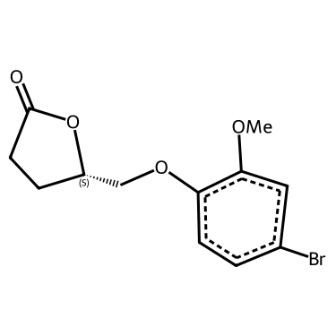 COc1cc(Br)ccc1OC[C@@H]1CCC(=O)O1